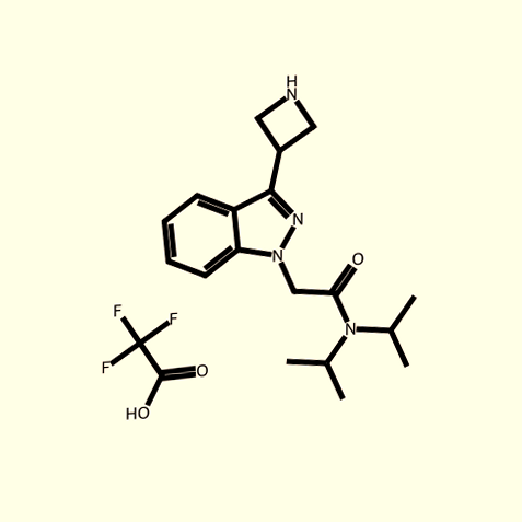 CC(C)N(C(=O)Cn1nc(C2CNC2)c2ccccc21)C(C)C.O=C(O)C(F)(F)F